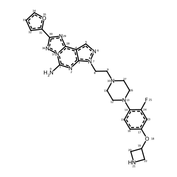 Nc1nc2c(cnn2CCN2CCN(c3ccc(OC4CNC4)cc3F)CC2)c2nc(-c3ccco3)nn12